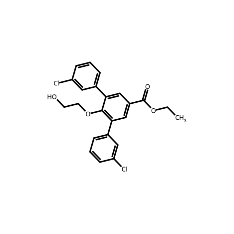 CCOC(=O)c1cc(-c2cccc(Cl)c2)c(OCCO)c(-c2cccc(Cl)c2)c1